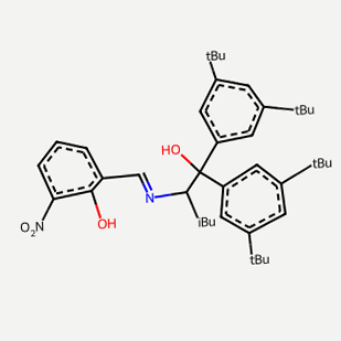 CCC(C)C(N=Cc1cccc([N+](=O)[O-])c1O)C(O)(c1cc(C(C)(C)C)cc(C(C)(C)C)c1)c1cc(C(C)(C)C)cc(C(C)(C)C)c1